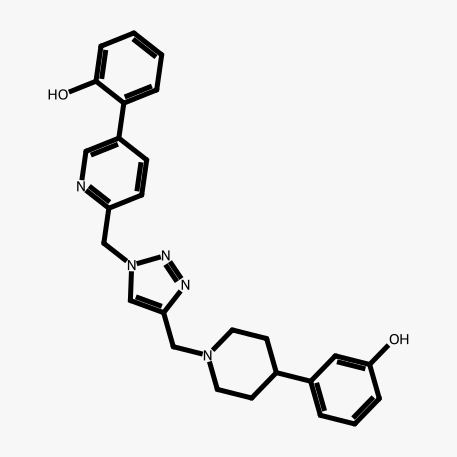 Oc1cccc(C2CCN(Cc3cn(Cc4ccc(-c5ccccc5O)cn4)nn3)CC2)c1